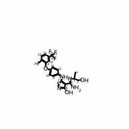 CC(CO)N=C(N)c1c(O)nsc1Nc1ccc(Oc2cc(C(F)(F)F)ccc2I)cc1